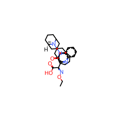 CCON=C(C(=O)O)c1nc2ccccc2n(C2CC3CCC[C@H](C2)N3C2CC3CCCCC(C3)C2)c1=O